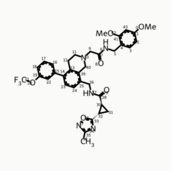 COc1ccc(CNC(=O)CN2CCc3c(-c4cccc(OC(F)(F)F)c4)ccc(CNC(=O)[C@H]4C[C@@H]4c4nc(C)no4)c3C2)c(OC)c1